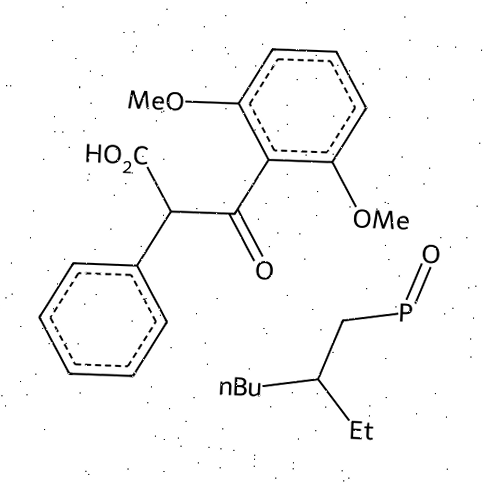 CCCCC(CC)CP=O.COc1cccc(OC)c1C(=O)C(C(=O)O)c1ccccc1